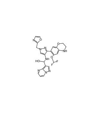 OC(Nc1cn(Cc2ncco2)nc1-c1cc2c(cc1OC(F)F)NCCO2)c1cnn2cccnc12